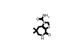 CC1(C)CNC(=O)C2=C(C1)N(C(N)=O)[CH]S2